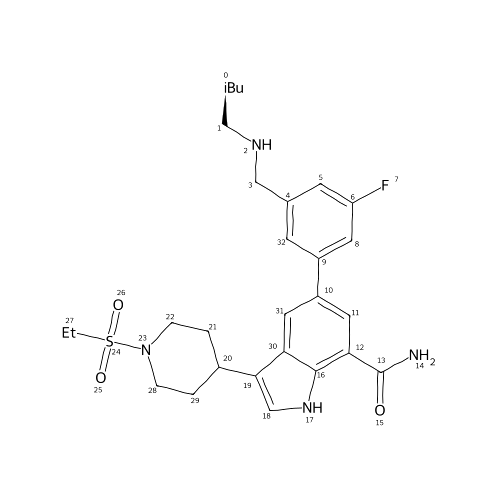 CC[C@H](C)CNCc1cc(F)cc(-c2cc(C(N)=O)c3[nH]cc(C4CCN(S(=O)(=O)CC)CC4)c3c2)c1